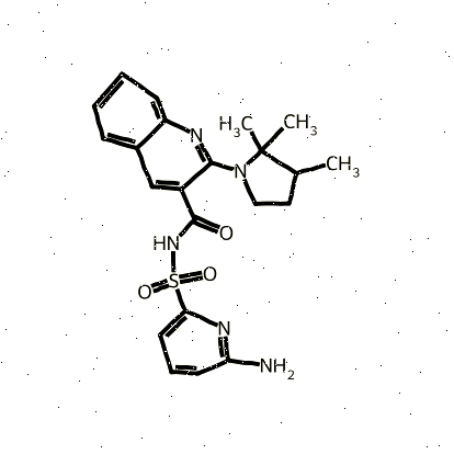 CC1CCN(c2nc3ccccc3cc2C(=O)NS(=O)(=O)c2cccc(N)n2)C1(C)C